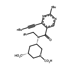 CCCCC#Cc1nc(C(C)(C)C)ncc1C(=O)N(CC(C)C)[C@H]1C[C@@H](C(=O)O)CN(C(=O)O)C1